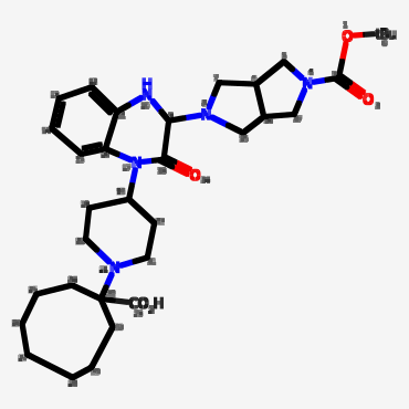 CC(C)(C)OC(=O)N1CC2CN(C3Nc4ccccc4N(C4CCN(C5(C(=O)O)CCCCCCC5)CC4)C3=O)CC2C1